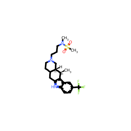 C[C@H]1c2c([nH]c3ccc(C(F)(F)F)cc23)CC2CCN(CCCN(C)S(C)(=O)=O)C[C@@H]21